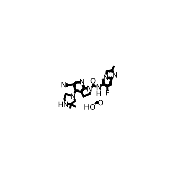 Cc1cn2cc(NC(=O)N3CCc4c3ncc(C#N)c4N3CCNC(C)(C)C3)c(F)cc2n1.O=CO